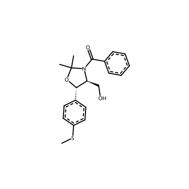 CSc1ccc([C@@H]2OC(C)(C)N(C(=O)c3ccccc3)[C@H]2CO)cc1